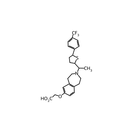 CC(C1CCC(c2ccc(C(F)(F)F)cc2)S1)N1CCc2ccc(OCC(=O)O)cc2CC1